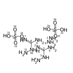 N.N.N=C(N)NN.N=C(N)NN.O=S(=O)(O)O.O=S(=O)(O)O